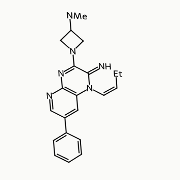 CC/C=C\n1c(=N)c(N2CC(NC)C2)nc2ncc(-c3ccccc3)cc21